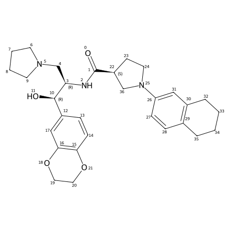 O=C(N[C@H](CN1CCCC1)[C@H](O)c1ccc2c(c1)OCCO2)[C@H]1CCN(c2ccc3c(c2)CCCC3)C1